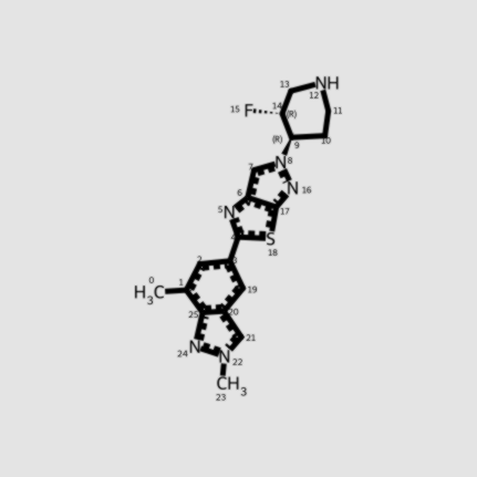 Cc1cc(-c2nc3cn([C@@H]4CCNC[C@H]4F)nc3s2)cc2cn(C)nc12